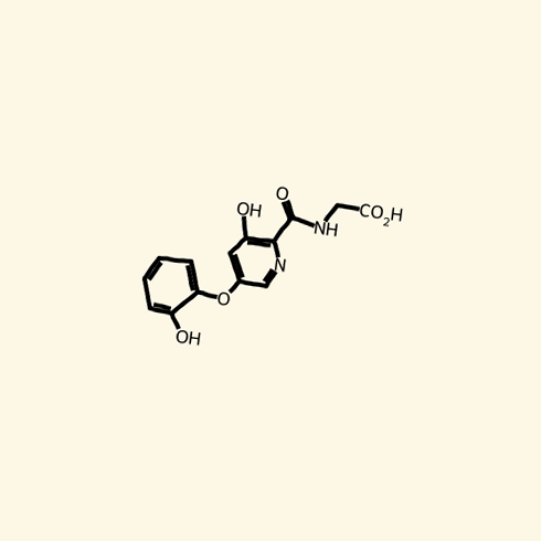 O=C(O)CNC(=O)c1ncc(Oc2ccccc2O)cc1O